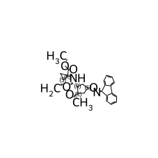 C=C[C@@H]1C[C@]1(NC(=O)[C@@H]1C[C@@H](ON=C2c3ccccc3-c3ccccc32)C[C@H]1C(C)=O)C(=O)OCC